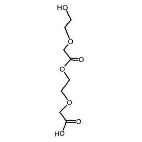 O=C(O)COCCOC(=O)COCCO